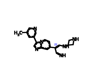 Cc1cncc(-c2cnc3cc(/C(C=N)=C/NC4CNC4)ccn23)c1